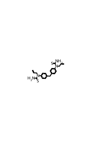 C=CCN(C(N)=S)c1ccc(Cc2ccc(N(CC=C)C(N)=S)cc2)cc1